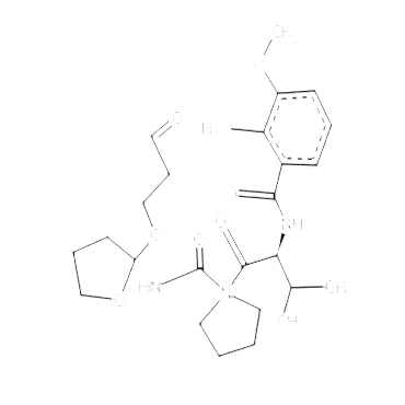 COc1cccc(C(=O)N[C@H](C(=O)[N+]2(C(=O)N[C@@]3(OCCC=O)CCCO3)CCCC2)C(C)C)c1C